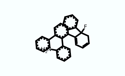 Nc1ccccc1-c1c(C2=CC=CCC2(F)c2ccccc2)cccc1-c1ccccc1